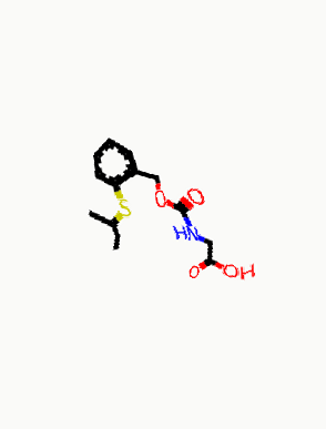 CC(C)Sc1ccccc1COC(=O)NCC(=O)O